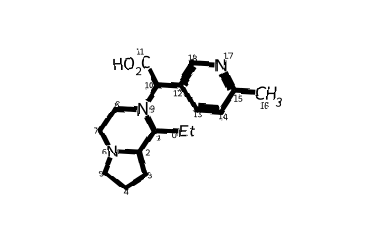 CCC1C2CCCN2CCN1C(C(=O)O)c1ccc(C)nc1